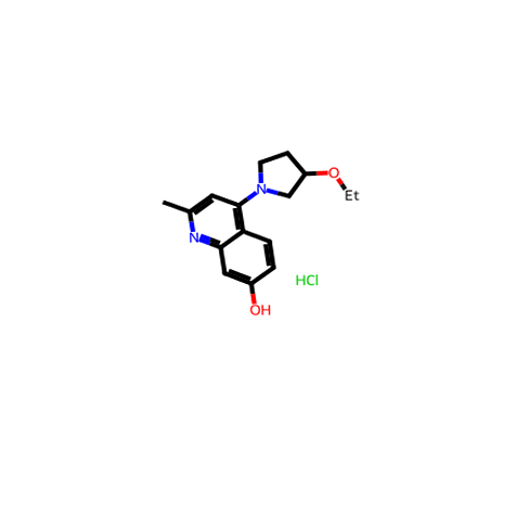 CCOC1CCN(c2cc(C)nc3cc(O)ccc23)C1.Cl